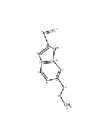 CCCc1ccc2cc(C=O)oc2c1